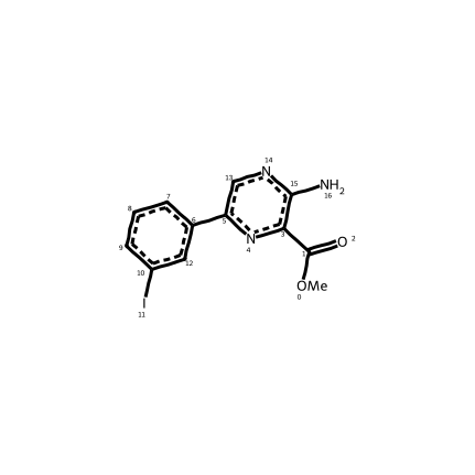 COC(=O)c1nc(-c2cccc(I)c2)cnc1N